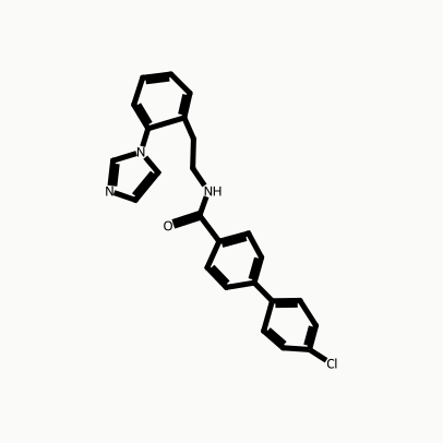 O=C(NCCc1ccccc1-n1ccnc1)c1ccc(-c2ccc(Cl)cc2)cc1